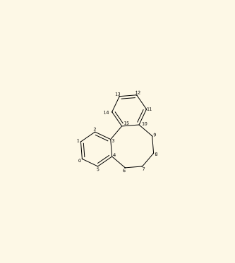 c1ccc2c(c1)CCCCc1ccccc1-2